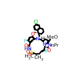 CCCN(CCOC)C(=O)[C@H]1/C(F)=C/C[C@H](C)[C@@H](C)S(=O)(=O)NC(=O)c2cc3c(cc2F)OC[C@]2(CCCc4cc(Cl)ccc42)CN3C[C@@H]2CCCN21